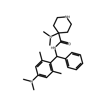 Cc1cc(N(C)C)cc(C)c1C(NC(=O)C1(N(C)C)CCNCC1)c1ccccc1